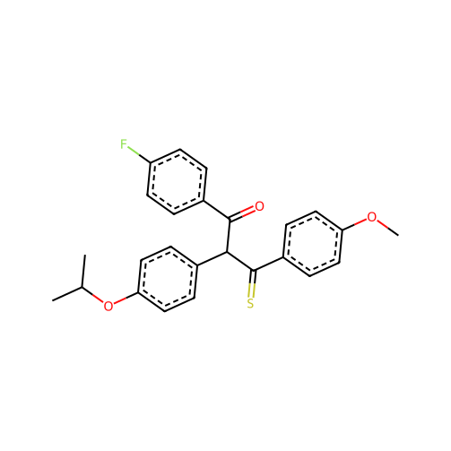 COc1ccc(C(=S)C(C(=O)c2ccc(F)cc2)c2ccc(OC(C)C)cc2)cc1